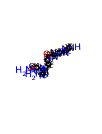 Nc1nc2cc(-c3nn(Cc4ccc5c(c4)CCN(C(=O)c4cnc(N6CCN(c7ncc8c(n7)CCNC8)CC6)nc4)C5)c4ncnc(N)c34)ccc2o1